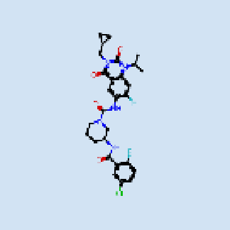 CC(C)n1c(=O)n(CC2CC2)c(=O)c2cc(NC(=O)N3CCCC(NC(=O)c4cc(Cl)ccc4F)C3)c(F)cc21